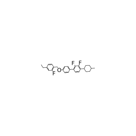 CCc1ccc(COc2ccc(-c3ccc(C4CCC(C)CC4)c(F)c3F)cc2)c(F)c1